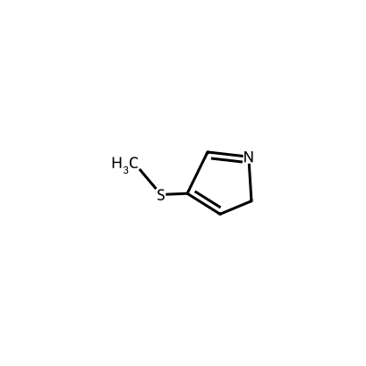 CSC1=CCN=C1